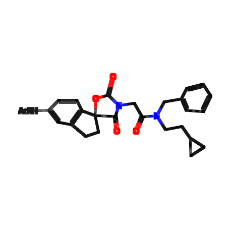 CC(=O)Nc1ccc2c(c1)CCC21OC(=O)N(CC(=O)N(CCC2CC2)Cc2ccccc2)C1=O